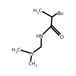 CCC(C)C(C)C(=O)NCN(C)C